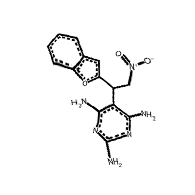 Nc1nc(N)c(C(C[N+](=O)[O-])c2cc3ccccc3o2)c(N)n1